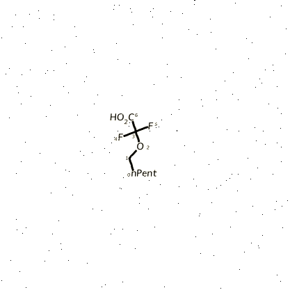 CCCCCCOC(F)(F)C(=O)O